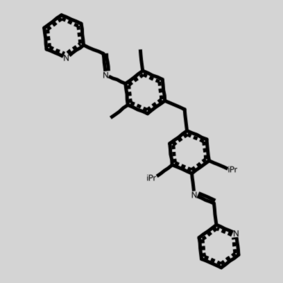 Cc1cc(Cc2cc(C(C)C)c(N=Cc3ccccn3)c(C(C)C)c2)cc(C)c1N=Cc1ccccn1